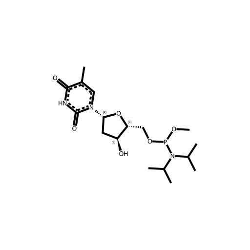 COP(OC[C@H]1O[C@@H](n2cc(C)c(=O)[nH]c2=O)C[C@@H]1O)N(C(C)C)C(C)C